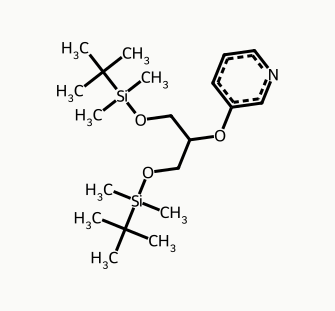 CC(C)(C)[Si](C)(C)OCC(CO[Si](C)(C)C(C)(C)C)Oc1cccnc1